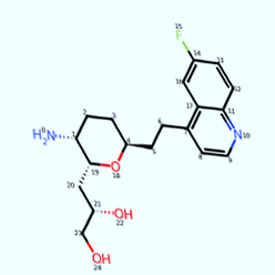 N[C@@H]1CC[C@@H](CCc2ccnc3ccc(F)cc23)O[C@@H]1C[C@H](O)CO